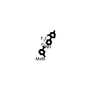 CNCc1cccc(C(=O)Nc2ccc(-c3ccc(C)cc3C)c(C(F)(F)F)c2)c1